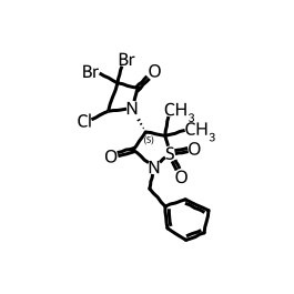 CC1(C)[C@@H](N2C(=O)C(Br)(Br)C2Cl)C(=O)N(Cc2ccccc2)S1(=O)=O